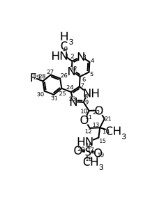 CNc1nccc(-c2[nH]c(C3OCC(C)(CNS(C)(=O)=O)CO3)nc2-c2ccc(F)cc2)n1